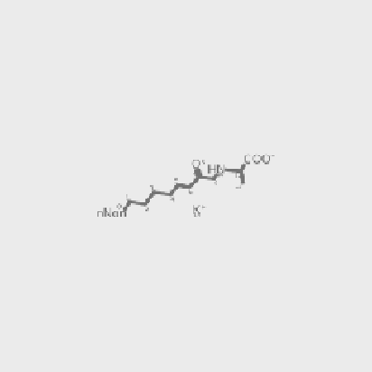 CCCCCCCCCCCCCCCC(=O)CNC(C)C(=O)[O-].[K+]